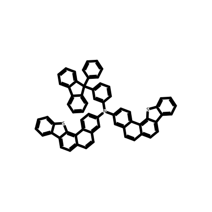 c1ccc(C2(c3cccc(N(c4ccc5c(ccc6ccc7c8ccccc8sc7c65)c4)c4ccc5c(ccc6ccc7c8ccccc8sc7c65)c4)c3)c3ccccc3-c3ccccc32)cc1